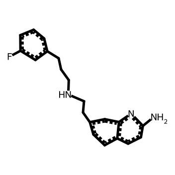 Nc1ccc2ccc(CCNCCCc3cccc(F)c3)cc2n1